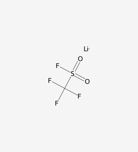 O=S(=O)(F)C(F)(F)F.[Li]